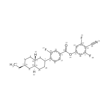 CC[C@H]1CC[C@@H]2CC(c3ccc(C(=O)Oc4cc(F)c(C#N)c(F)c4)cc3F)CC[C@H]2C1